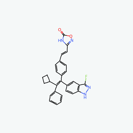 O=c1[nH]c(C=Cc2ccc(C(=C(c3ccccc3)C3CCC3)c3ccc4[nH]nc(F)c4c3)cc2)no1